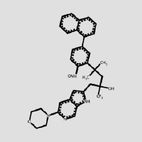 COc1ccc(-c2cccc3ccccc23)cc1C(C)(C)CC(O)(Cc1cc2cc(N3CCOCC3)ncc2[nH]1)C(F)(F)F